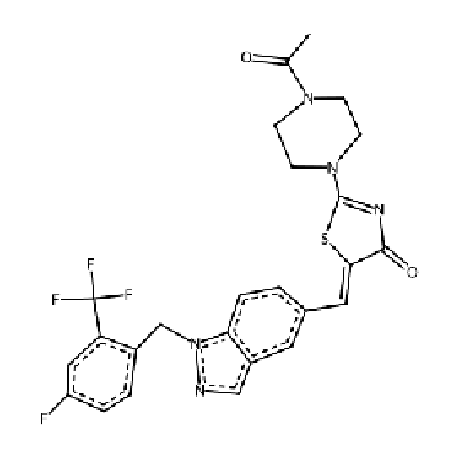 CC(=O)N1CCN(C2=NC(=O)/C(=C/c3ccc4c(cnn4Cc4ccc(F)cc4C(F)(F)F)c3)S2)CC1